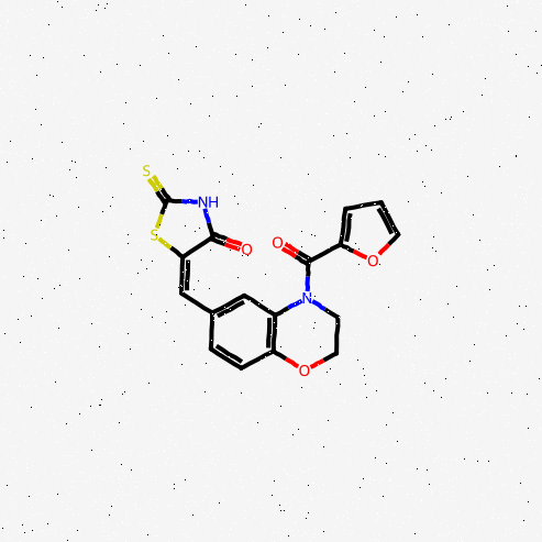 O=C1NC(=S)SC1=Cc1ccc2c(c1)N(C(=O)c1ccco1)CCO2